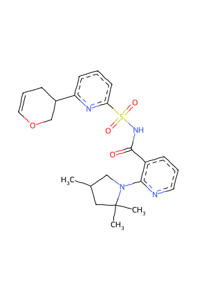 CC1CN(c2ncccc2C(=O)NS(=O)(=O)c2cccc(C3CC=COC3)n2)C(C)(C)C1